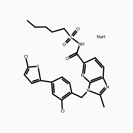 CCCCCS(=O)(=O)NC(=O)c1ccc2nc(C)n(Cc3ccc(-c4ccc(Cl)s4)cc3Cl)c2n1.[NaH]